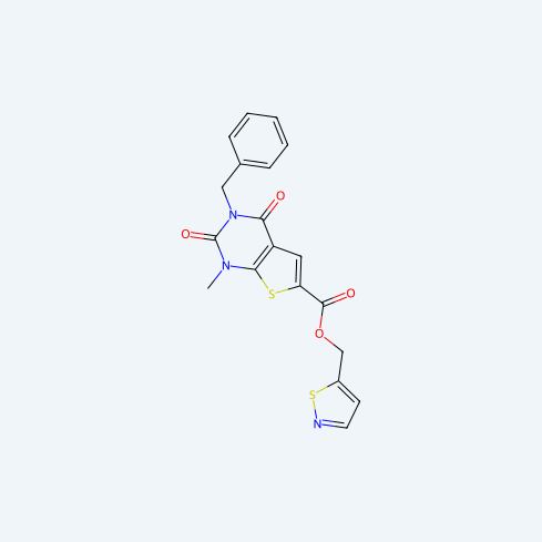 Cn1c(=O)n(Cc2ccccc2)c(=O)c2cc(C(=O)OCc3ccns3)sc21